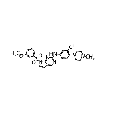 COc1cccc(S(=O)(=O)n2ccc3cnc(Nc4ccc(N5CCN(C)CC5)c(Cl)c4)nc32)c1